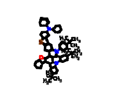 CC(C)(C)c1ccc(N2B3c4cc(C(C)(C)C)ccc4-n4c5ccc(C(C)(C)C)cc5c5c6c(oc7ccccc76)c(c3c54)-c3cc4sc5ccc(N(c6ccccc6)c6ccccc6)cc5c4cc32)cc1